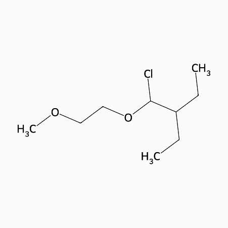 CCC(CC)C(Cl)OCCOC